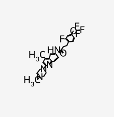 Cc1cc(N2CCN(C)CC2)nc2ccc(NC(=O)CCc3ccc(OC(F)(F)F)cc3F)cc12